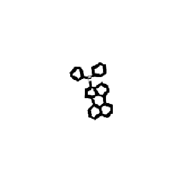 c1ccc(P(c2ccccc2)c2ccc3c4cccc5cccc(c6cccc2c63)c54)cc1